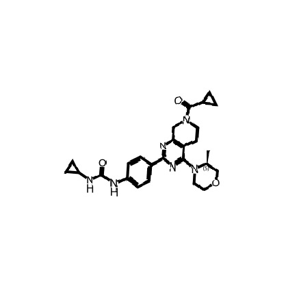 C[C@H]1COCCN1c1nc(-c2ccc(NC(=O)NC3CC3)cc2)nc2c1CCN(C(=O)C1CC1)C2